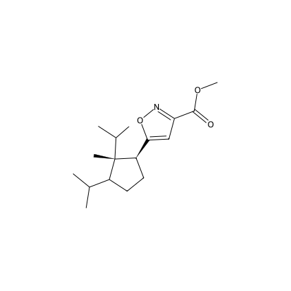 COC(=O)c1cc([C@H]2CCC(C(C)C)[C@]2(C)C(C)C)on1